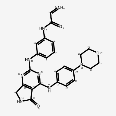 C=CC(=O)Nc1cccc(Nc2nc3c(c(Nc4ccc(N5CCOCC5)cc4)n2)C(=O)NC3)c1